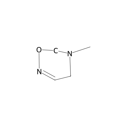 CN1CC=NOC1